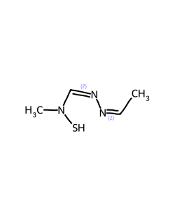 C/C=N\N=C/N(C)S